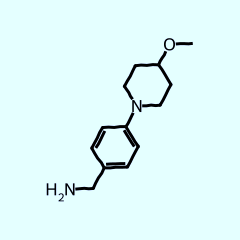 COC1CCN(c2ccc(CN)cc2)CC1